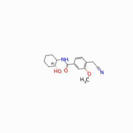 COc1cc(C(=O)NC2CCCC[C@H]2O)ccc1CC#N